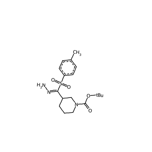 Cc1ccc(S(=O)(=O)C(=NN)C2CCCN(C(=O)OC(C)(C)C)C2)cc1